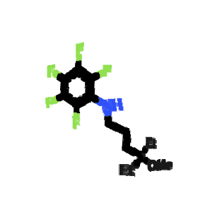 CC[Si](CC)(CCCNc1c(F)c(F)c(F)c(F)c1F)OC